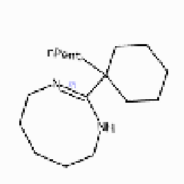 CCCCCC1(/C2=N/CCCCCN2)CCCCC1